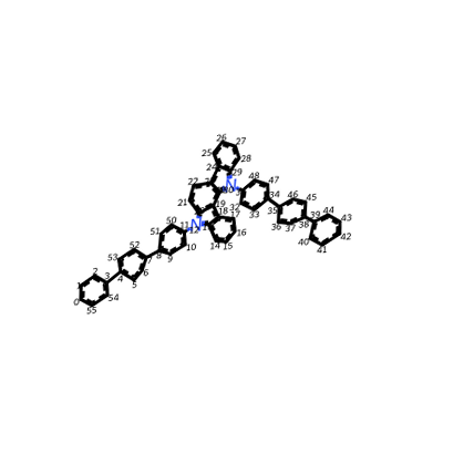 c1ccc(-c2ccc(-c3ccc(-n4c5ccccc5c5c4ccc4c6ccccc6n(-c6ccc(-c7ccc(-c8ccccc8)cc7)cc6)c45)cc3)cc2)cc1